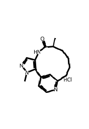 CC1CCCCc2cc(ccn2)-c2c(cnn2C)NC1=O.Cl